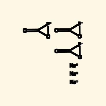 O=C1O[P-]1.O=C1O[P-]1.O=C1O[P-]1.[Na+].[Na+].[Na+]